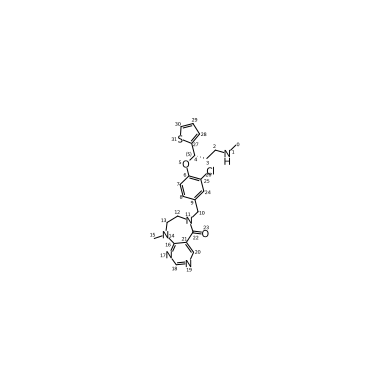 CNCC[C@H](Oc1ccc(CN2CCN(C)c3ncncc3C2=O)cc1Cl)c1cccs1